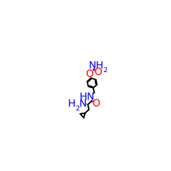 NC(=O)Oc1ccc(CNC(=O)[C@@H](N)CC2CC2)cc1